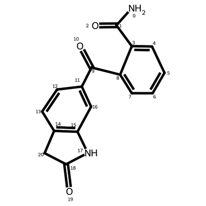 NC(=O)c1ccccc1C(=O)c1ccc2c(c1)NC(=O)C2